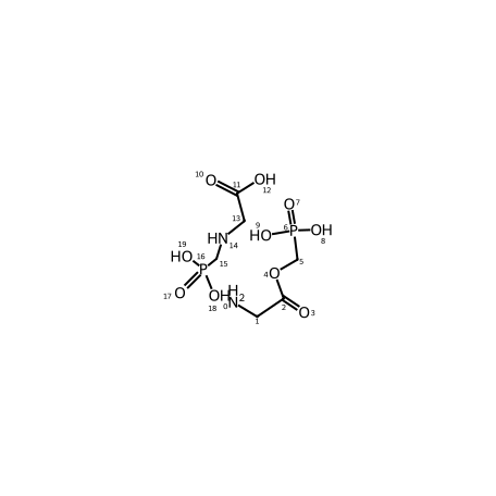 NCC(=O)OCP(=O)(O)O.O=C(O)CNCP(=O)(O)O